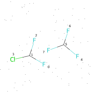 FC(F)Cl.FC(F)F